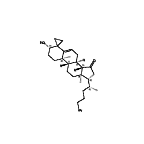 CC(C)CCC[C@@H](C)[C@H]1CC(=O)[C@H]2[C@@H]3CC=C4C5(CC5)[C@@H](O)CC[C@]4(C)[C@H]3CC[C@]12C